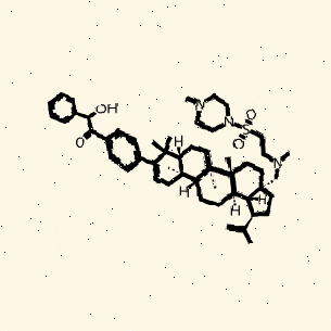 C=C(C)[C@@H]1CC[C@]2(CN(C)CCS(=O)(=O)N3CCN(C)CC3)CC[C@]3(C)[C@H](CC[C@@H]4[C@@]5(C)CC=C(c6ccc(C(=O)C(O)c7ccccc7)cc6)C(C)(C)[C@@H]5CC[C@]43C)[C@@H]12